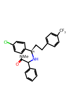 CNC(=O)C(N[C@H](CCc1ccc(C(F)(F)F)cc1)c1ccc(Cl)cc1)c1ccccc1